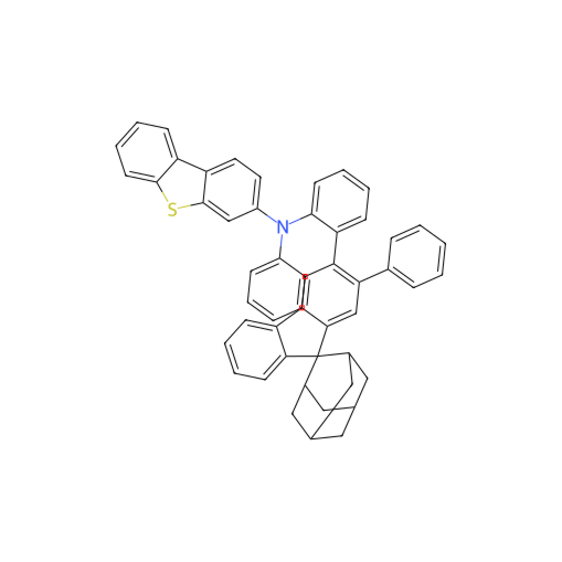 c1ccc(-c2cc3c(cc2-c2ccccc2N(c2ccccc2)c2ccc4c(c2)sc2ccccc24)-c2ccccc2C32C3CC4CC(C3)CC2C4)cc1